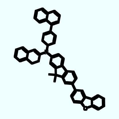 CC1(C)c2cc(-c3ccc4oc5ccccc5c4c3)ccc2-c2ccc(N(C3=Cc4ccccc4CC3)C3C=CC(c4cccc5ccccc45)=CC3)cc21